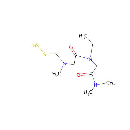 CCN(CC(=O)N(C)C)C(=O)CN(C)CSS